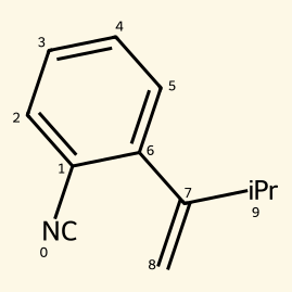 [C-]#[N+]c1ccccc1C(=C)C(C)C